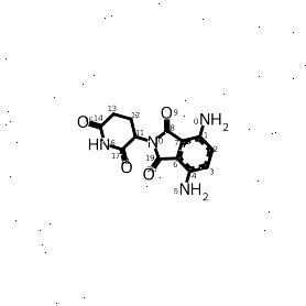 Nc1ccc(N)c2c1C(=O)N(C1CCC(=O)NC1=O)C2=O